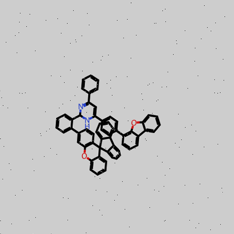 C1=C(c2ccc(-c3cccc4c3oc3ccccc34)cc2)NC(c2ccccc2-c2ccc3c(c2)Oc2ccccc2C32c3ccccc3-c3ccccc32)N=C1c1ccccc1